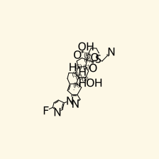 C[C@]12Cc3cnn(-c4ccc(F)nc4)c3C=C1CC[C@@H]1[C@@H]2[C@@H](O)C[C@@]2(C)[C@H]1CC[C@]2(C(=O)SCC#N)[C@@]1(C(=O)O)CCCO1